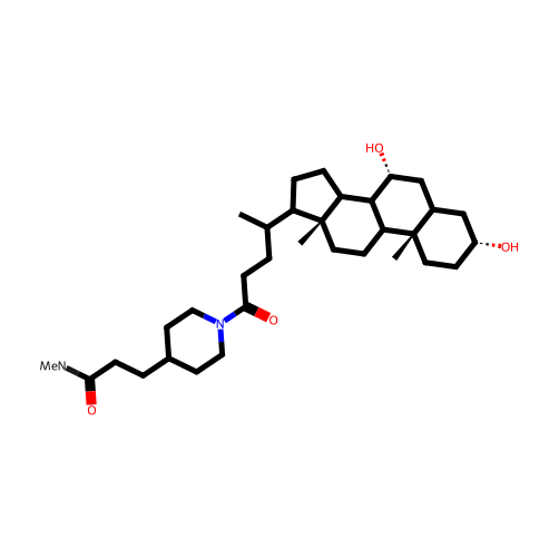 CNC(=O)CCC1CCN(C(=O)CCC(C)C2CCC3C4C(CC[C@]23C)[C@@]2(C)CC[C@@H](O)CC2C[C@H]4O)CC1